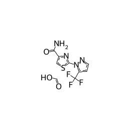 NC(=O)c1csc(-n2nccc2C(F)(F)F)n1.O=CO